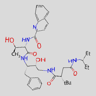 CCC(CC)NC(=O)C[C@@H](C(=O)NC[C@@H](O)[C@H](Cc1ccccc1)NC(=O)[C@@H](NC(=O)c1ccc2ccccc2n1)[C@@H](C)O)C(C)(C)C